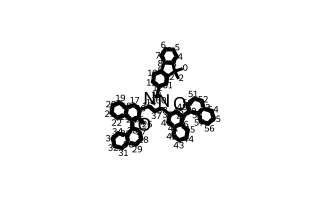 CC1(C)c2ccccc2-c2ccc(-c3nc(-c4cc5ccccc5c5c4oc4ccc6ccccc6c45)cc(-c4cc5ccccc5c5c4oc4ccc6ccccc6c45)n3)cc21